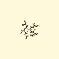 C=CC(=O)OC(CC)CC(CC)CCCC.O=C(O)C1CCCC(C(=O)O)C1